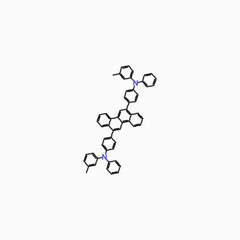 Cc1cccc(N(c2ccccc2)c2ccc(-c3cc4c5ccccc5c(-c5ccc(N(c6ccccc6)c6cccc(C)c6)cc5)cc4c4ccccc34)cc2)c1